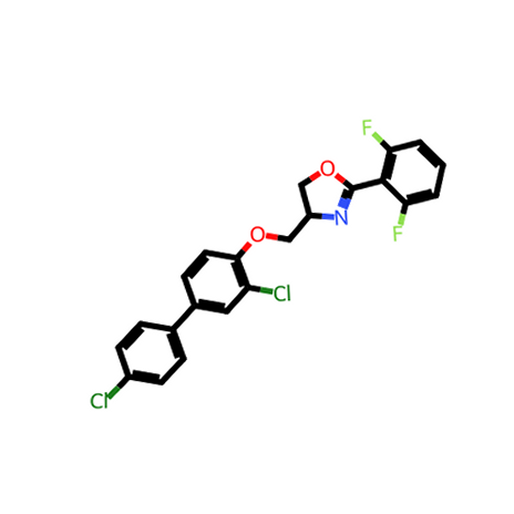 Fc1cccc(F)c1C1=NC(COc2ccc(-c3ccc(Cl)cc3)cc2Cl)CO1